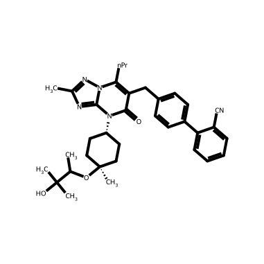 CCCc1c(Cc2ccc(-c3ccccc3C#N)cc2)c(=O)n([C@H]2CC[C@](C)(OC(C)C(C)(C)O)CC2)c2nc(C)nn12